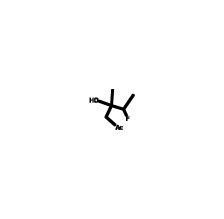 CC(=O)CC(C)(O)C(C)F